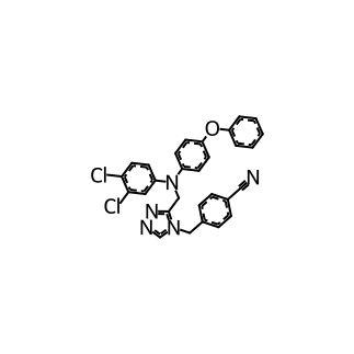 N#Cc1ccc(Cn2cnnc2CN(c2ccc(Oc3ccccc3)cc2)c2ccc(Cl)c(Cl)c2)cc1